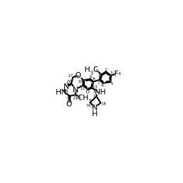 Cc1cc(F)ccc1-c1cc2c(cc1NC1CNC1)N1C(=NNC(=O)C1C)CO2